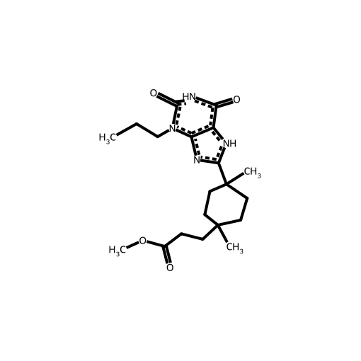 CCCn1c(=O)[nH]c(=O)c2[nH]c(C3(C)CCC(C)(CCC(=O)OC)CC3)nc21